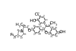 CC1=C(c2ccc(Cl)c(O)c2)C(c2ccc(OC[C@H](C)N3CC[C@@H](CF)C3)cc2)Oc2ccc(O)cc21